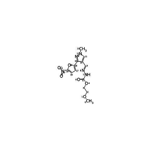 COCCOC(=O)NN=Cc1cn(C)nc1-c1ccc([N+](=O)[O-])o1